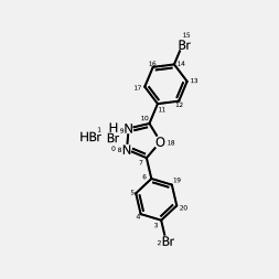 Br.Br.Brc1ccc(-c2nnc(-c3ccc(Br)cc3)o2)cc1